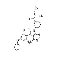 Cc1c(-c2ccc(Oc3ccccc3)cc2F)c2c(N)ncnc2n1[C@H]1CCCN(C(=O)/C(C#N)=C/C2CC2)C1